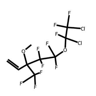 C=CC(OC)(C(F)(F)F)C(F)(F)C(F)(F)OC(F)(Cl)C(F)(F)Cl